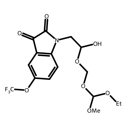 CCOC(OC)OCOC(O)CN1C(=O)C(=O)c2cc(OC(F)(F)F)ccc21